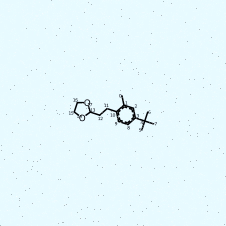 Cc1cc(C(C)(C)C)ccc1CCC1OCCO1